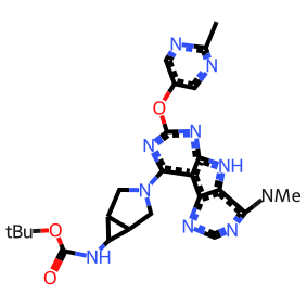 CNc1ncnc2c1[nH]c1nc(Oc3cnc(C)nc3)nc(N3CC4C(C3)C4NC(=O)OC(C)(C)C)c12